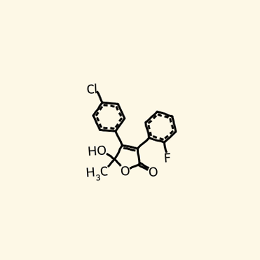 CC1(O)OC(=O)C(c2ccccc2F)=C1c1ccc(Cl)cc1